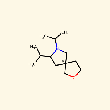 CC(C)C1C[C@]2(CCOC2)CN1C(C)C